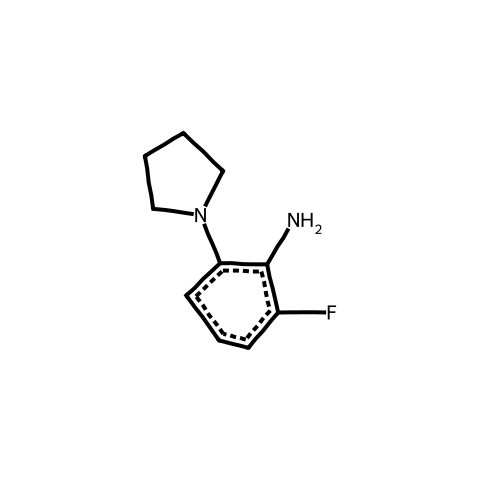 Nc1c(F)cccc1N1CCCC1